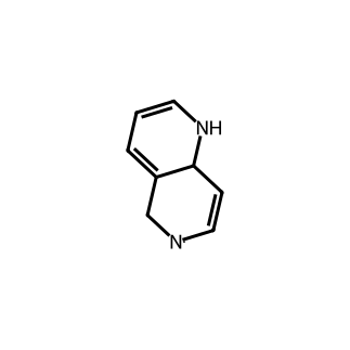 C1=CNC2C=C[N]CC2=C1